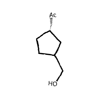 CC(=O)[C@H]1CCC(CO)C1